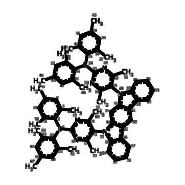 Cc1cc(C)c(B(c2nc(C)c(-n3c4ccccc4c4cc5c6ccccc6n(-c6c(C)nc(B(c7c(C)cc(C)cc7C)c7c(C)cc(C)cc7C)nc6C)c5cc43)c(C)n2)c2c(C)cc(C)cc2C)c(C)c1